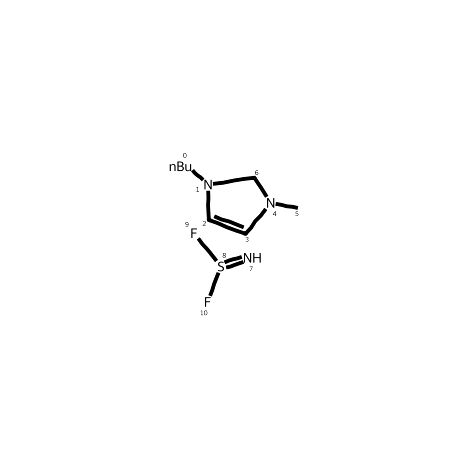 CCCCN1C=CN(C)C1.N=S(F)F